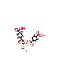 CC(COC(=O)c1ccc(C(=O)O)cc1)OC(=O)c1ccc(C(=O)O)cc1